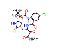 [2H]C([2H])([2H])OC(=O)Nc1ccc(Cl)cc1C(=O)NC(C[C@@H]1C[C@@H](C)NC1=O)C(=O)C(=O)NC